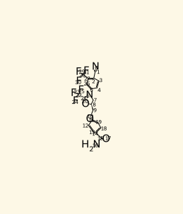 N#Cc1ccc(N2C[C@@H](COc3ccc(C(N)=O)cc3)O[C@@H]2C(F)(F)F)cc1C(F)(F)F